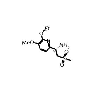 CCOc1nc([C@H](N)CS(C)(=O)=O)ccc1OC